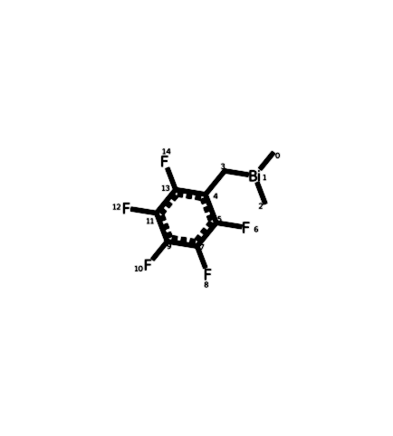 [CH3][Bi]([CH3])[CH2]c1c(F)c(F)c(F)c(F)c1F